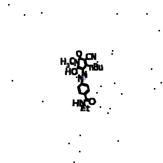 CCCCc1c(/N=N/c2ccc(C(=O)NCC)cc2)c(O)n(C)c(=O)c1C#N